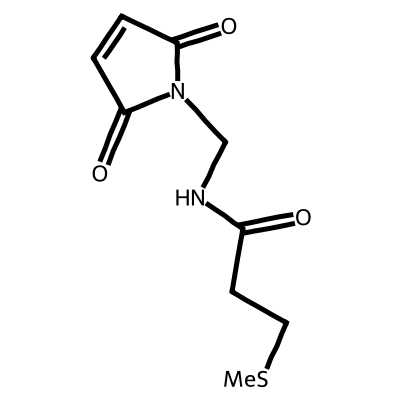 CSCCC(=O)NCN1C(=O)C=CC1=O